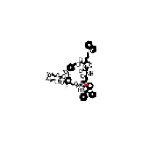 COCCOCOc1c(F)cc(CON=S2C=C(CC(=O)NC3C(=O)N4C(C(=O)OCc5ccc(OC)cc5)=C(C=CC[n+]5cccc6ccccc65)CSC34)N=C2NC(c2ccccc2)(c2ccccc2)c2ccccc2)c(F)c1OCOCCOC